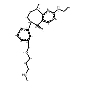 CCNc1ncc2c(n1)N(C)CCN(c1cccc(COCCCNC)c1)C2=O